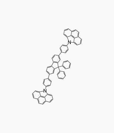 c1ccc(C2(c3ccccc3)c3cc(-c4ccc(-n5c6cccc7ccc8cccc5c8c76)cc4)ccc3-c3ccc(-c4ccc(-n5c6cccc7ccc8cccc5c8c76)cc4)cc32)cc1